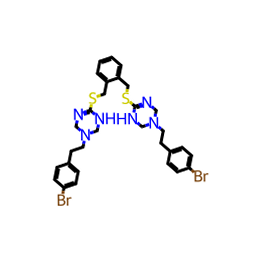 Brc1ccc(CCN2CN=C(SCc3ccccc3CSC3=NCN(CCc4ccc(Br)cc4)CN3)NC2)cc1